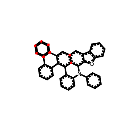 c1ccc(-c2ccccc2-c2c(-c3ccccc3)cccc2-c2ccccc2N(c2ccccc2)c2cccc3c2oc2ccccc23)cc1